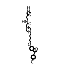 O=C(CN1CCN(CCCCCOc2ccc3c(-c4ccc(Cl)cc4)coc3c2)CC1)NCCc1c[nH]cn1